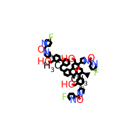 CC(Cc1ccc(C(C)c2cccc(C3CC3)c2-c2ccc([C@@H]3CCN(C(=O)c4ccc(F)cn4)C3)c(CO)c2)c(-c2ccc(C3CCN(C(=O)c4ccc(F)cn4)C3)c(CO)c2)c1)c1ccccc1-c1ccc([C@H]2CCN(C(=O)c3ccc(F)cn3)C2)c(CO)c1